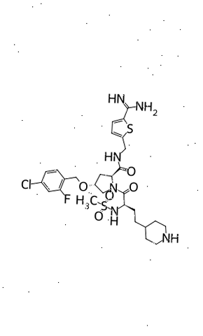 CS(=O)(=O)N[C@H](CCC1CCNCC1)C(=O)N1C[C@H](OCc2ccc(Cl)cc2F)C[C@H]1C(=O)NCc1ccc(C(=N)N)s1